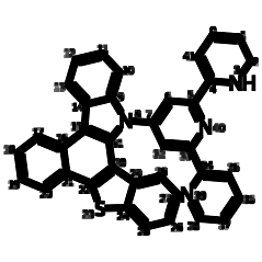 C1=CCNC(c2cc(-n3c4ccccc4c4c5ccccc5c5sc6ccccc6c5c43)cc(-c3ccccn3)n2)=C1